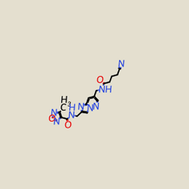 Cc1nonc1C(=O)NCc1cn2ncc(CNC(=O)CCCC#N)cc2n1